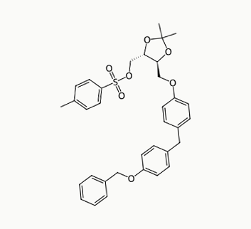 Cc1ccc(S(=O)(=O)OC[C@@H]2OC(C)(C)O[C@H]2COc2ccc(Cc3ccc(OCc4ccccc4)cc3)cc2)cc1